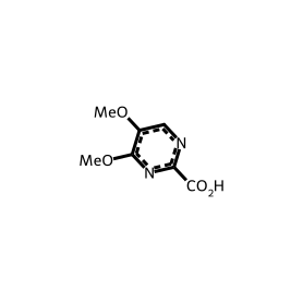 COc1cnc(C(=O)O)nc1OC